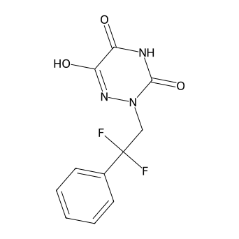 O=c1[nH]c(=O)n(CC(F)(F)c2ccccc2)nc1O